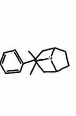 CC(C)N1C2CCC1CC(c1ccccc1)C2